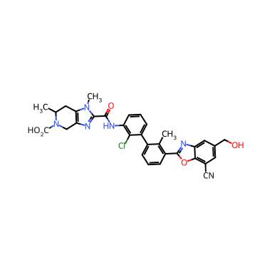 Cc1c(-c2nc3cc(CO)cc(C#N)c3o2)cccc1-c1cccc(NC(=O)c2nc3c(n2C)CC(C)N(C(=O)O)C3)c1Cl